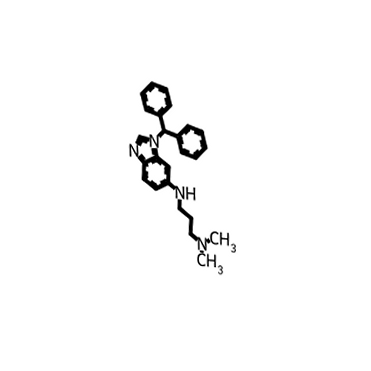 CN(C)CCCNc1ccc2ncn(C(c3ccccc3)c3ccccc3)c2c1